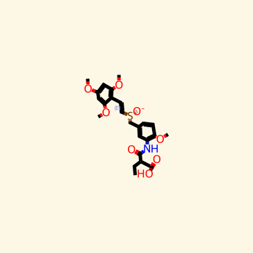 CCC(C(=O)O)C(=O)Nc1cc(C[S+]([O-])/C=C/c2c(OC)cc(OC)cc2OC)ccc1OC